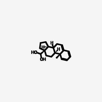 C[C@]12C=CC=CC1=CC[C@H]1[C@@H]3CCC[C@@]3(C(O)O)CC[C@@H]12